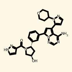 Nc1ncnn2c(-c3cccc([C@@H]4C[C@@H](O)CN4C(=O)c4cc[nH]n4)c3)cc(-c3ccnn3C3CCOCC3)c12